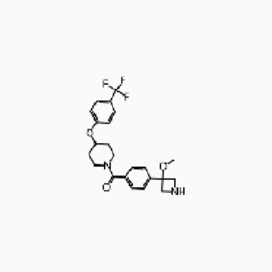 COC1(c2ccc(C(=O)N3CCC(Oc4ccc(C(F)(F)F)cc4)CC3)cc2)CNC1